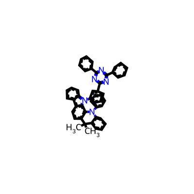 CC1(C)c2ccccc2N(c2ccccc2)c2c1ccc1c3ccccc3n(-c3cccc(-c4nc(-c5ccccc5)nc(-c5ccccc5)n4)c3)c21